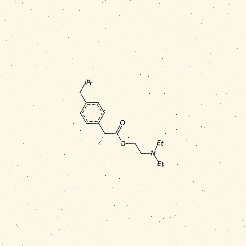 CCN(CC)CCOC(=O)[C@H](C)c1ccc(CC(C)C)cc1